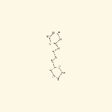 C1CC[C](CCCC[C]2CCCCC2)CC1